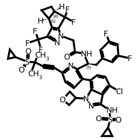 CC(C)(C#Cc1ccc(-c2ccc(Cl)c3c(NS(=O)(=O)C4CC4)nn(C4COC4)c23)c([C@H](Cc2cc(F)cc(F)c2)NC(=O)Cn2nc(C(F)(F)F)c3c2C(F)(F)[C@@H]2CC[C@H]32)n1)S(=O)(=O)C1CC1